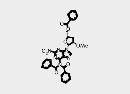 CO[C@@H]1C[C@@H](COC(=O)c2ccccc2)O[C@H]1n1cnc2c(N(C(=O)c3ccccc3)C(=O)c3ccccc3)nc([N+](=O)[O-])nc21